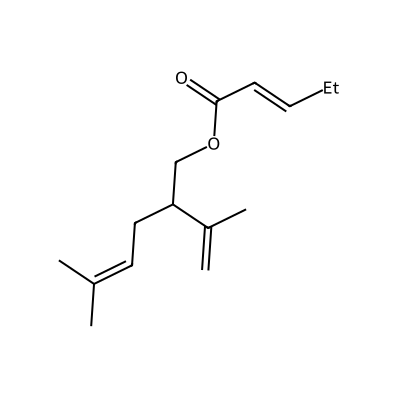 C=C(C)C(CC=C(C)C)COC(=O)C=CCC